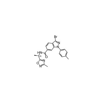 Cc1ccc(-n2nc(Br)c3ccc(C(=O)N[C@H](C)c4nc(C)no4)cc32)cc1